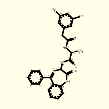 C[C@H](NC(=O)Cc1cc(F)cc(F)c1)C(=O)NC1N=C(c2ccccc2)c2ccccc2NC1=O